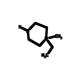 CC[N+]1(C)CCN(F)CC1